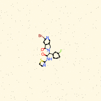 O=C(Nc1nccs1)C(c1cccc(F)c1)N1Cc2cnc(Br)cc2C1=O